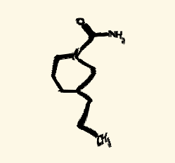 CCCC1[CH]CCN(C(N)=O)C1